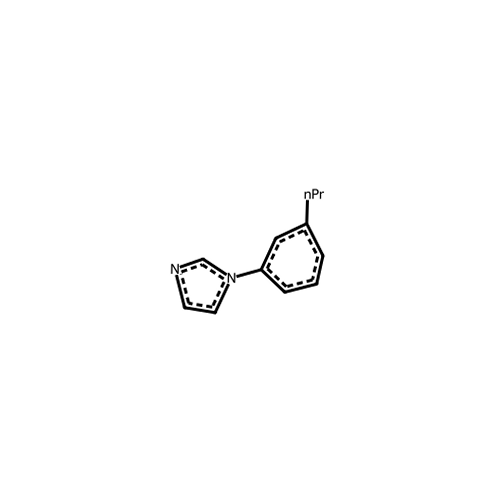 CCCc1cccc(-n2ccnc2)c1